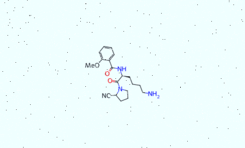 COc1ccccc1C(=O)N[C@@H](CCCCN)C(=O)N1CCCC1C#N